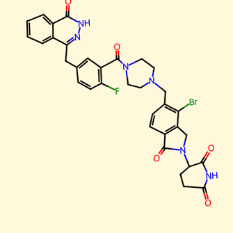 O=C1CCC(N2Cc3c(ccc(CN4CCN(C(=O)c5cc(Cc6n[nH]c(=O)c7ccccc67)ccc5F)CC4)c3Br)C2=O)C(=O)N1